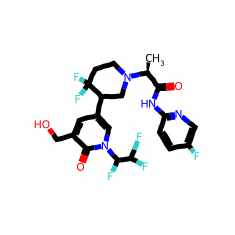 C[C@@H](C(=O)Nc1ccc(F)cn1)N1CCC(F)(F)C(c2cc(CO)c(=O)n(C(F)C(F)F)c2)C1